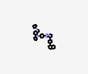 c1ccc(-n2ccc3c2ccc2c4ccccc4n(-c4ccc(-c5nc6c(-c7ccc(-c8cccc9ccccc89)cc7)cccn6n5)cc4)c23)cc1